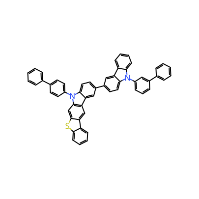 c1ccc(-c2ccc(-n3c4ccc(-c5ccc6c(c5)c5ccccc5n6-c5cccc(-c6ccccc6)c5)cc4c4cc5c(cc43)sc3ccccc35)cc2)cc1